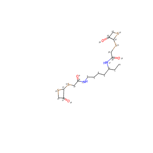 CCC(CCCCNC(=O)CSC1SCC1=O)NC(=O)CSC1SCC1=O